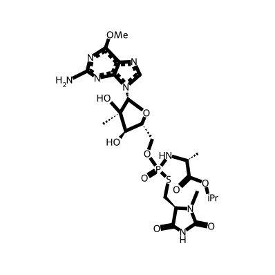 COc1nc(N)nc2c1ncn2[C@@H]1O[C@H](COP(=O)(N[C@H](C)C(=O)OC(C)C)SC[C@@H]2C(=O)NC(=O)N2C)[C@@H](O)[C@@]1(C)O